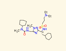 CCN(CC)CCCS(=O)(=O)N[C@H](CC1CCCCC1)c1nc(CNC(=O)N(C)C2CCCCC2)n(C)n1